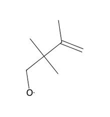 C=C(C)C(C)(C)C[O]